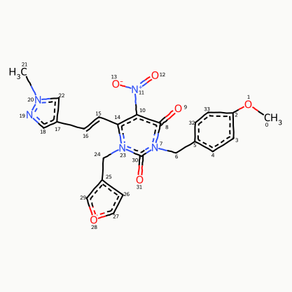 COc1ccc(Cn2c(=O)c([N+](=O)[O-])c(C=Cc3cnn(C)c3)n(Cc3ccoc3)c2=O)cc1